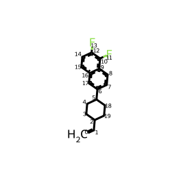 C=CC1CCC(c2ccc3c(F)c(F)ccc3c2)CC1